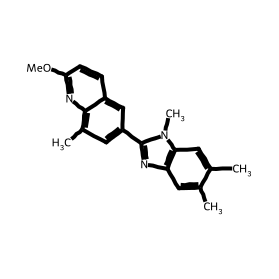 COc1ccc2cc(-c3nc4cc(C)c(C)cc4n3C)cc(C)c2n1